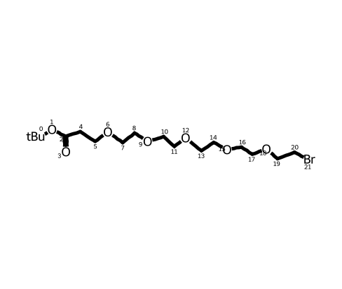 CC(C)(C)OC(=O)CCOCCOCCOCCOCCOCCBr